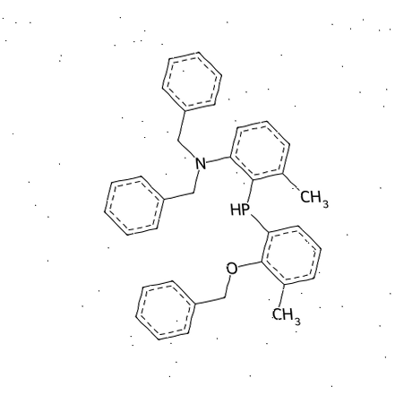 Cc1cccc(Pc2c(C)cccc2N(Cc2ccccc2)Cc2ccccc2)c1OCc1ccccc1